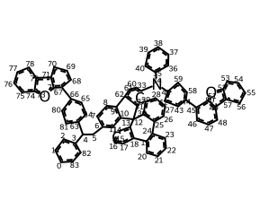 c1ccc(C(Cc2ccc3c(c2)C2(c4ccccc4-c4ccccc4-c4ccccc42)c2cc(N(c4ccccc4)c4ccc(-c5cccc6c5oc5ccccc56)cc4)ccc2-3)c2ccc(-c3cccc4c3oc3ccccc34)cc2)cc1